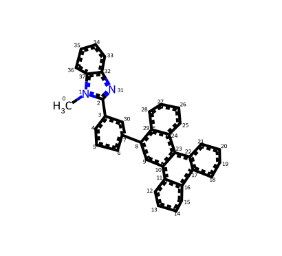 Cn1c(-c2cccc(-c3cc4c5ccccc5c5ccccc5c4c4ccccc34)c2)nc2ccccc21